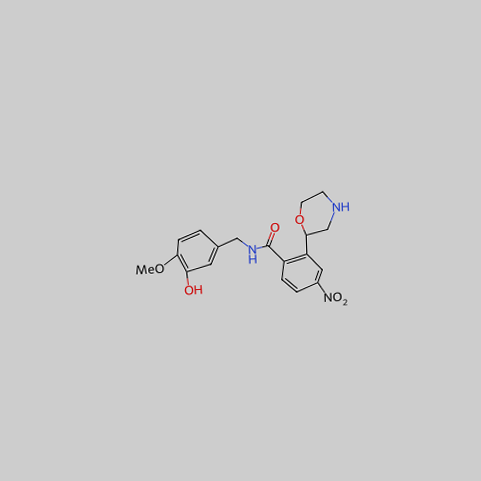 COc1ccc(CNC(=O)c2ccc([N+](=O)[O-])cc2C2CNCCO2)cc1O